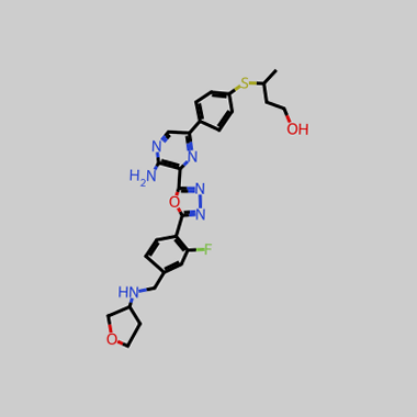 CC(CCO)Sc1ccc(-c2cnc(N)c(-c3nnc(-c4ccc(CNC5CCOC5)cc4F)o3)n2)cc1